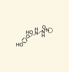 O=C(NCCNC[C@@H](O)COc1ccc(O)cc1)N1CCCCC1